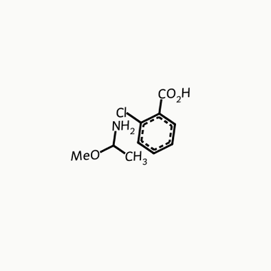 COC(C)N.O=C(O)c1ccccc1Cl